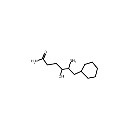 NC(=O)CCC(O)C(N)CC1CCCCC1